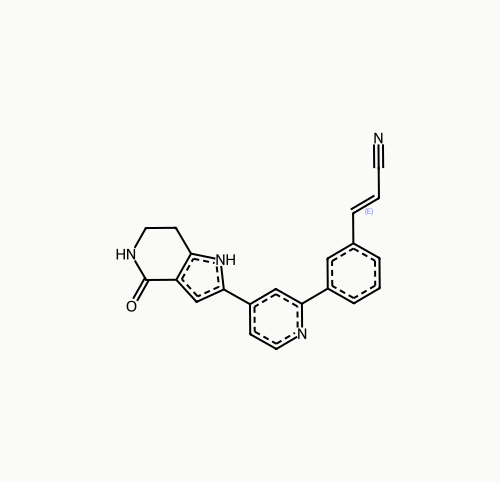 N#C/C=C/c1cccc(-c2cc(-c3cc4c([nH]3)CCNC4=O)ccn2)c1